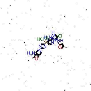 C[C@@H]1OCC2(CCN(c3cnc(Sc4ccnc(C5(N)N=C(NC[C@H]6CCCO6)C(Cl)=CN5)c4Cl)cn3)CC2)[C@@H]1N.Cl